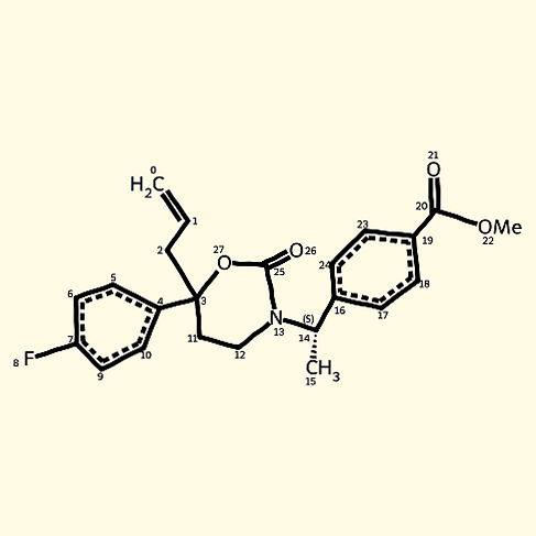 C=CCC1(c2ccc(F)cc2)CCN([C@@H](C)c2ccc(C(=O)OC)cc2)C(=O)O1